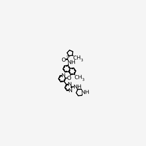 Cc1ccc2c(NC(=O)[C@H]3CCCC3C)cccc2c1Oc1ncccc1-c1ccnc(NC2CCCNC2)n1